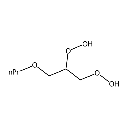 CCCOCC(COO)OO